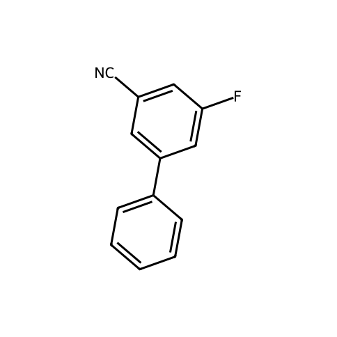 N#Cc1cc(F)cc(-c2ccccc2)c1